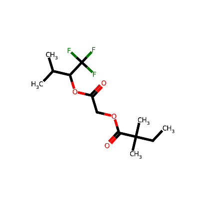 CCC(C)(C)C(=O)OCC(=O)OC(C(C)C)C(F)(F)F